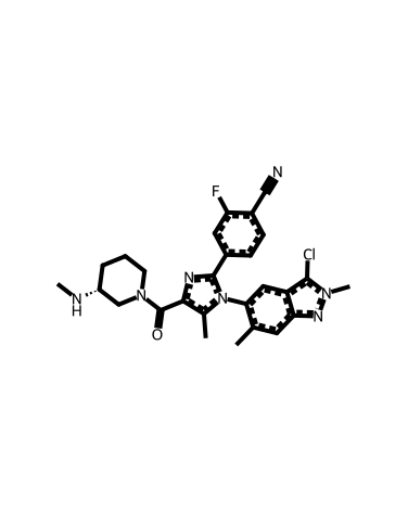 CN[C@@H]1CCCN(C(=O)c2nc(-c3ccc(C#N)c(F)c3)n(-c3cc4c(Cl)n(C)nc4cc3C)c2C)C1